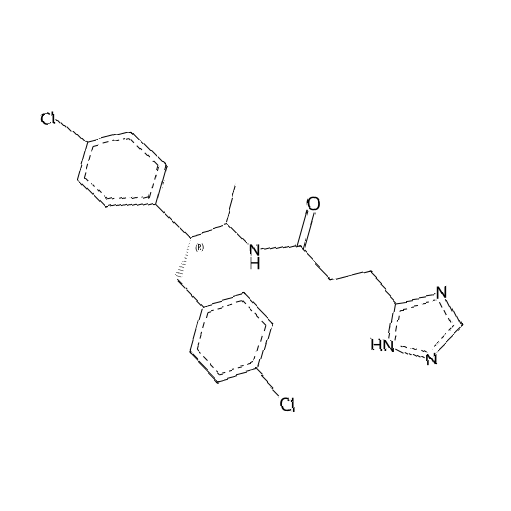 CC(NC(=O)CCc1ncn[nH]1)[C@H](Cc1ccc(Cl)cc1)c1ccc(Cl)cc1